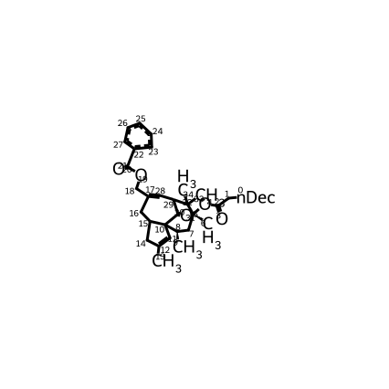 CCCCCCCCCCCC(=O)O[C@]1(C)C[C@@H](C)C23C=C(C)CC2CC(COC(=O)c2ccccc2)=CC(C3=O)C1(C)C